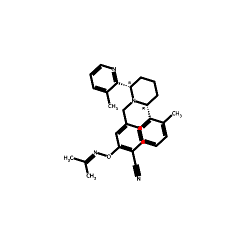 CC(C)=NOc1cc(CN2[C@@H](c3ncccc3C)CCC[C@H]2c2ncccc2C)ccc1C#N